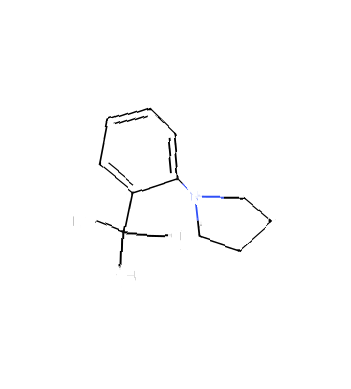 CC(C)(C)c1ccccc1N1CCCC1